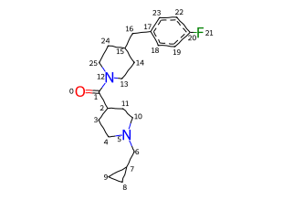 O=C(C1CCN(CC2CC2)CC1)N1CCC(Cc2ccc(F)cc2)CC1